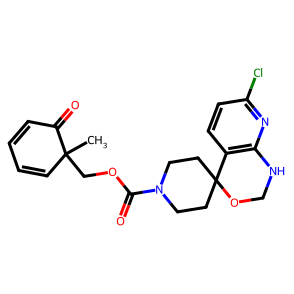 CC1(COC(=O)N2CCC3(CC2)OCNc2nc(Cl)ccc23)C=CC=CC1=O